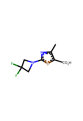 Cc1nc(N2CC(F)(F)C2)sc1C(=O)O